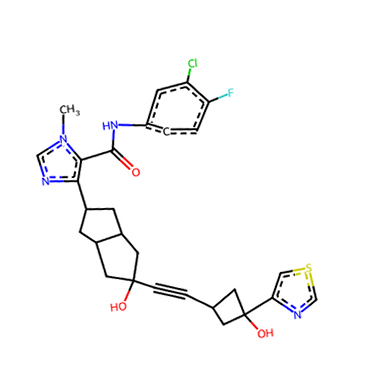 Cn1cnc(C2CC3CC(O)(C#CC4CC(O)(c5cscn5)C4)CC3C2)c1C(=O)Nc1ccc(F)c(Cl)c1